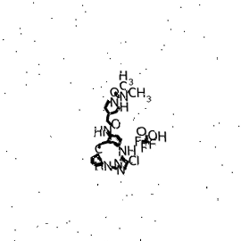 CC(C)NC(=O)N1CCC(CC(=O)Nc2ccc3cc2CCc2cccc(c2)Nc2ncc(Cl)c(n2)N3)CC1.O=C(O)C(F)(F)F